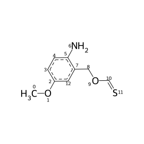 COc1ccc(N)c(COC=S)c1